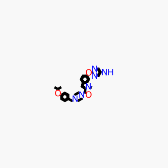 CNc1cnc(Oc2ccc3cc(C(=O)N4CCN(Cc5ccc(OC(C)C)cc5)CC4)n(C)c3c2)nc1